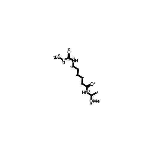 COC(C)NC(=O)CCCCCNC(=O)OC(C)(C)C